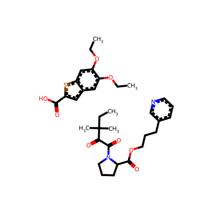 CCC(C)(C)C(=O)C(=O)N1CCCC1C(=O)OCCCc1cccnc1.CCOc1cc2cc(C(=O)O)sc2cc1OCC